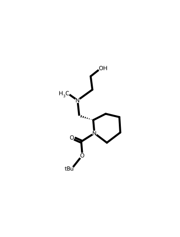 CN(CCO)C[C@@H]1CCCCN1C(=O)OC(C)(C)C